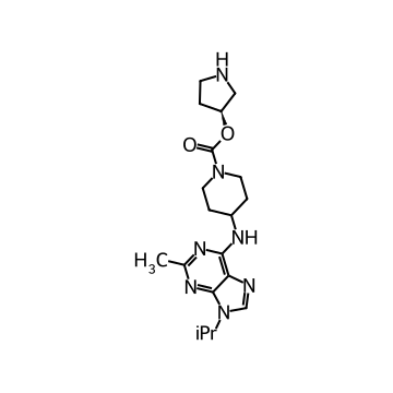 Cc1nc(NC2CCN(C(=O)O[C@H]3CCNC3)CC2)c2ncn(C(C)C)c2n1